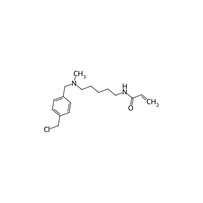 C=CC(=O)NCCCCCN(C)Cc1ccc(CCl)cc1